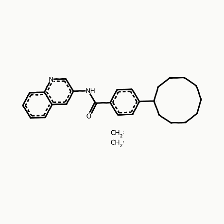 O=C(Nc1cnc2ccccc2c1)c1ccc([C]2CCCCCCCCC2)cc1.[CH2].[CH2]